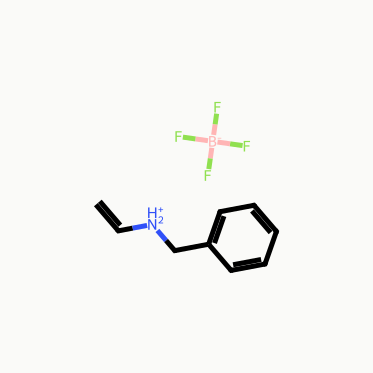 C=C[NH2+]Cc1ccccc1.F[B-](F)(F)F